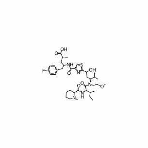 CCC(C)C(NC(=O)C1CCCCN1C)C(=O)N(CCOC)C(CC(O)c1nc(C(=O)NC(Cc2ccc(F)cc2)CC(C)C(=O)O)cs1)C(C)C